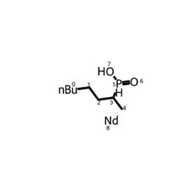 CCCCCCC(C)[PH](=O)O.[Nd]